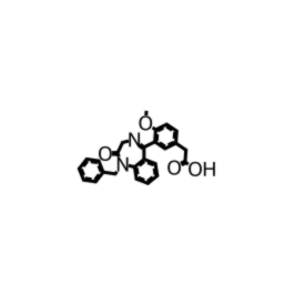 COc1ccc(CC(=O)O)cc1C1=NCC(=O)N(Cc2ccccc2)c2ccccc21